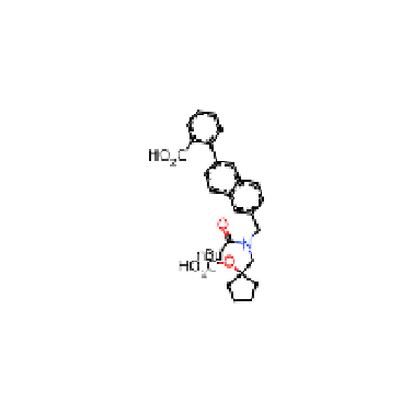 CCCCC(=O)N(Cc1ccc2cc(-c3ccccc3C(=O)O)ccc2c1)CC1(OC(=O)O)CCCC1